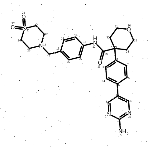 Nc1ncc(-c2ccc(C3(C(=O)Nc4ccc(CN5CCS(=O)(=O)CC5)cc4)CCOCC3)cc2)cn1